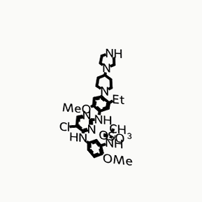 CCc1cc(Nc2ncc(Cl)c(Nc3ccc(OC)c(NS(C)(=O)=O)c3)n2)c(OC)cc1N1CCC(N2CCNCC2)CC1